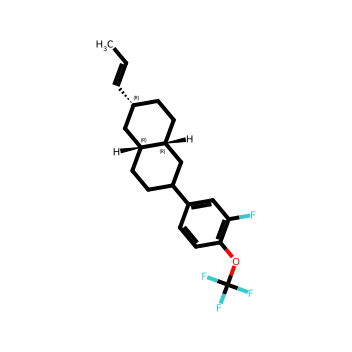 CC=C[C@@H]1CC[C@@H]2CC(c3ccc(OC(F)(F)F)c(F)c3)CC[C@@H]2C1